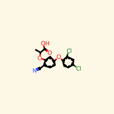 CC(Oc1cc(Oc2ccc(Cl)cc2Cl)ccc1C#N)C(=O)O